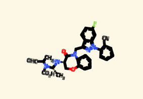 CC(C=O)N(C(=O)O)[C@@H](C)N[C@H]1COc2ccccc2N(Cc2nn(-c3ccccc3C#N)c3cc(F)ccc23)C1=O